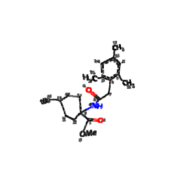 COC(=O)C1(NC(=O)Cc2c(C)cc(C)cc2C)CCC(C(C)(C)C)CC1